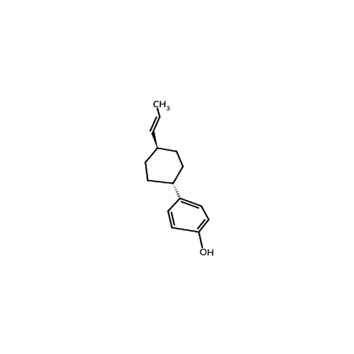 CC=C[C@H]1CC[C@H](c2ccc(O)cc2)CC1